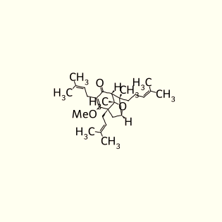 COC1=C(CC=C(C)C)C(=O)[C@@H]2[C@](C)(CCC=C(C)C)[C@H]3C[C@@]1(CC=C(C)C)[C@@]2(C)O3